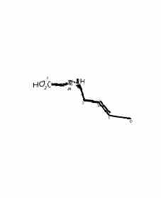 C/C=C/CNC(=O)O